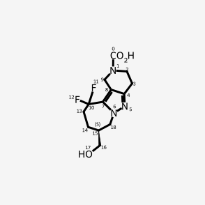 O=C(O)N1CCc2nn3c(c2C1)C(F)(F)CC[C@H](CO)C3